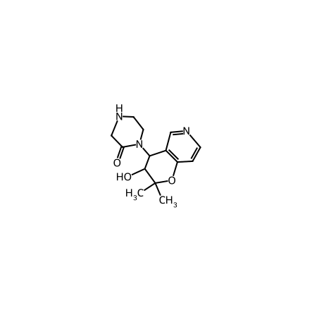 CC1(C)Oc2ccncc2C(N2CCNCC2=O)C1O